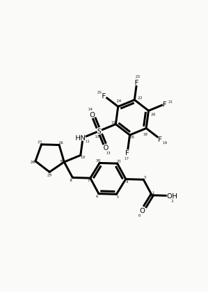 O=C(O)Cc1ccc(CC2(CNS(=O)(=O)c3c(F)c(F)c(F)c(F)c3F)CCCC2)cc1